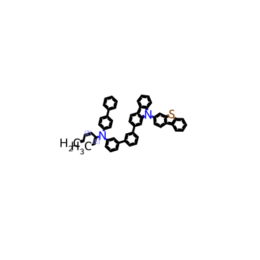 C=C/C=C\C(=C/C)N(c1ccc(-c2ccccc2)cc1)c1cccc(-c2cccc(-c3ccc4c5ccccc5n(-c5ccc6c(c5)sc5ccccc56)c4c3)c2)c1